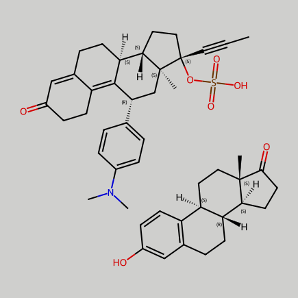 CC#C[C@]1(OS(=O)(=O)O)CC[C@H]2[C@@H]3CCC4=CC(=O)CCC4=C3[C@@H](c3ccc(N(C)C)cc3)C[C@@]21C.C[C@]12CC[C@@H]3c4ccc(O)cc4CC[C@H]3[C@@H]1CCC2=O